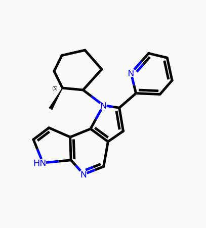 C[C@H]1CCCCC1n1c(-c2ccccn2)cc2cnc3[nH]ccc3c21